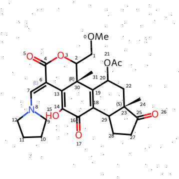 COCC1OC(=O)/C(=C/N2CCCC2)C2=C(O)C(=O)C3=C(C(OC(C)=O)C[C@]4(C)C(=O)CCC34)[C@]21C